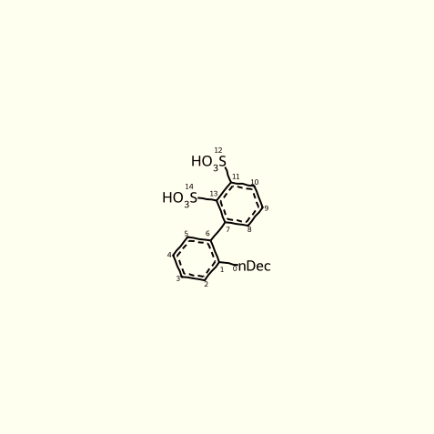 CCCCCCCCCCc1ccccc1-c1cccc(S(=O)(=O)O)c1S(=O)(=O)O